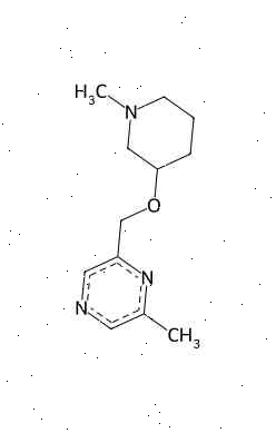 Cc1cncc(COC2CCCN(C)C2)n1